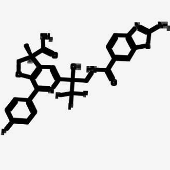 C[C@]1(C(N)=O)COc2c1cc(C(O)(CNC(=O)c1ccc3nc(N)sc3c1)C(F)(F)F)nc2-c1ccc(F)cc1